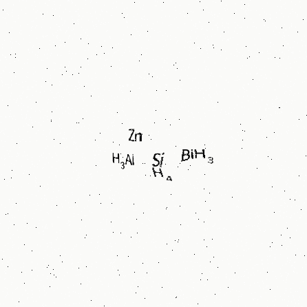 [AlH3].[BiH3].[SiH4].[Zn]